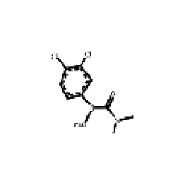 CCCCN(C(=O)N(C)C)c1ccc(Cl)c(Cl)c1